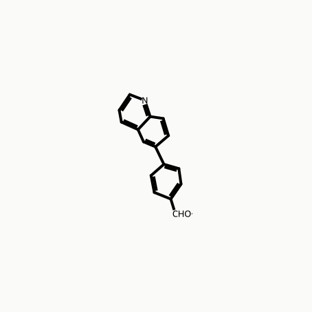 O=[C]c1ccc(-c2ccc3ncccc3c2)cc1